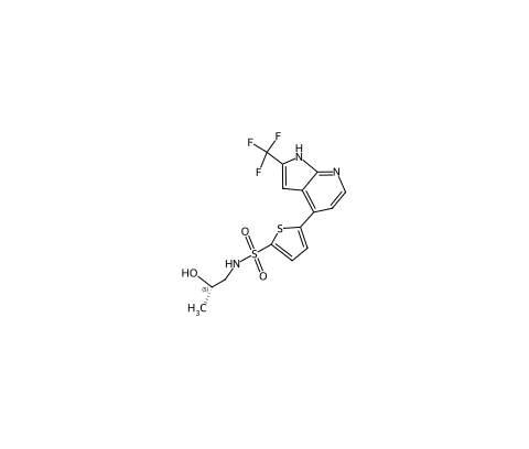 C[C@H](O)CNS(=O)(=O)c1ccc(-c2ccnc3[nH]c(C(F)(F)F)cc23)s1